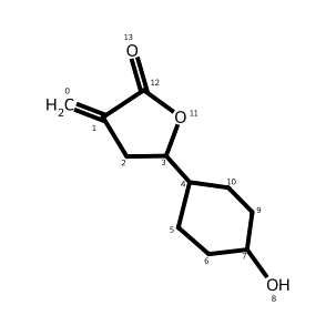 C=C1CC(C2CCC(O)CC2)OC1=O